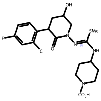 CS/C(=N\N1CC(O)CC(c2ccc(F)cc2Cl)C1=O)NC1CCN(C(=O)O)CC1